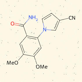 COc1cc(C(N)=O)c(-n2ccc(C#N)c2)cc1OC